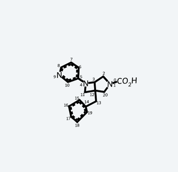 O=C(O)N1CC2N(c3cccnc3)CC2(Cc2ccccc2)C1